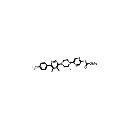 COC(=O)Oc1cnc(N2CCN(c3nnc(-c4ccc(C(F)(F)F)cc4)c(C)c3C)C[C@H]2C)cn1